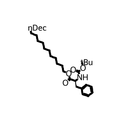 CCCCCCCCCCCCCCCCCCCCCOC(=O)[C@H](Cc1ccccc1)NC(=O)OC(C)(C)C